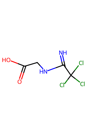 N=C(NCC(=O)O)C(Cl)(Cl)Cl